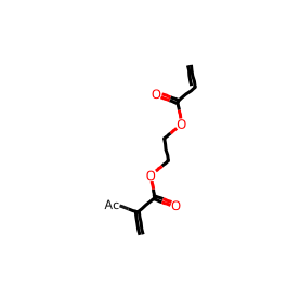 C=CC(=O)OCCOC(=O)C(=C)C(C)=O